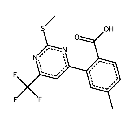 CSc1nc(-c2cc(C)ccc2C(=O)O)cc(C(F)(F)F)n1